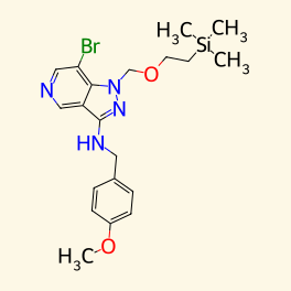 COc1ccc(CNc2nn(COCC[Si](C)(C)C)c3c(Br)cncc23)cc1